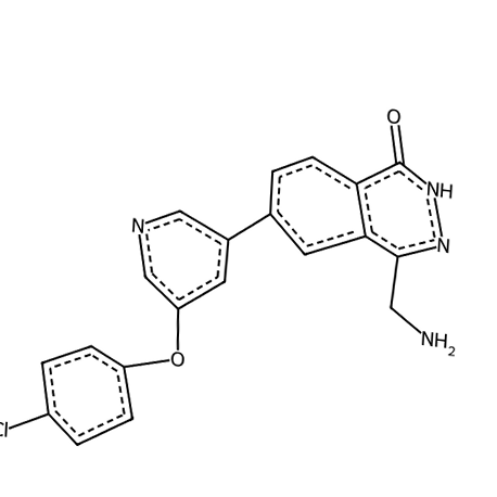 NCc1n[nH]c(=O)c2ccc(-c3cncc(Oc4ccc(Cl)cc4)c3)cc12